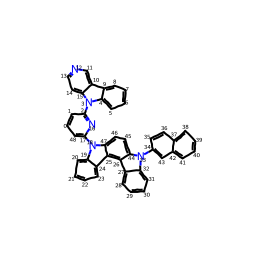 c1cc(-n2c3ccccc3c3cnccc32)nc(-n2c3ccccc3c3c4c5ccccc5n(-c5ccc6ccccc6c5)c4ccc32)c1